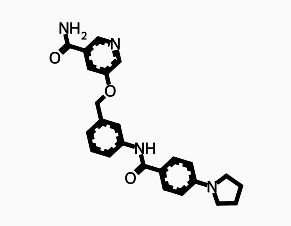 NC(=O)c1cncc(OCc2cccc(NC(=O)c3ccc(N4CCCC4)cc3)c2)c1